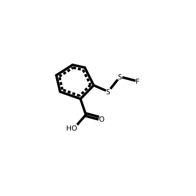 O=C(O)c1ccccc1SSF